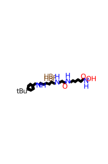 Br.Br.CC(C)(C)c1ccc(CNCCCCCCNCCC(=O)NCCCCCC(=O)NO)cc1